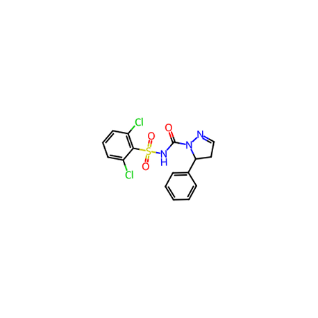 O=C(NS(=O)(=O)c1c(Cl)cccc1Cl)N1N=CCC1c1ccccc1